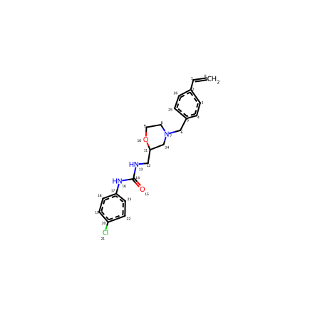 C=Cc1ccc(CN2CCOC(CNC(=O)Nc3ccc(Cl)cc3)C2)cc1